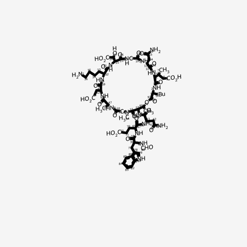 CCC(C)C1NC(=O)C(C(C)CC(=O)O)NC(=O)C(CC(N)=O)NC(=O)CNC(=O)C(C(O)C(=O)O)NC(=O)C(CCCCN)NC(=O)C(CC(=O)O)NC(=O)C(C)NC(=O)CN(C)C(=O)C(NC(=O)C(CC(N)=O)NC(=O)C(CCC(=O)O)NC(=O)C(Cc2c[nH]c3ccccc23)NC=O)C(C)OC1=O